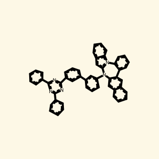 c1ccc(-c2nc(-c3ccccc3)nc(-c3cccc(-c4cccc(N5c6cc7ccccc7cc6-c6ccccc6-n6c5cc5ccccc56)c4)c3)n2)cc1